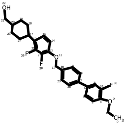 CCOc1ccc(-c2ccc(COc3ccc(C4CCC(CO)CC4)c(F)c3F)cc2)cc1F